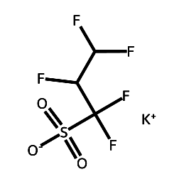 O=S(=O)([O-])C(F)(F)C(F)C(F)F.[K+]